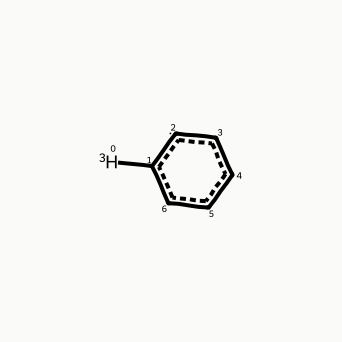 [3H]c1[c]cccc1